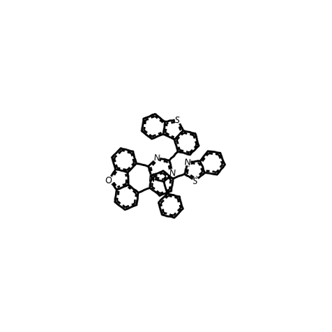 c1ccc(-c2nc(-c3cccc4sc5ccccc5c34)nc(-c3cccc4oc5cccc(-c6ccc(-c7nc8ccccc8s7)cc6)c5c34)n2)cc1